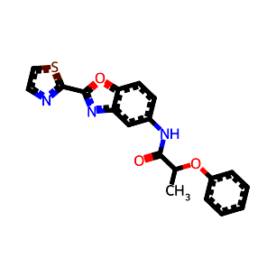 CC(Oc1ccccc1)C(=O)Nc1ccc2oc(-c3nccs3)nc2c1